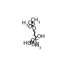 CC(C)OC(=O)OCCC[C@H](O)[C@@H](C)ON(O)O